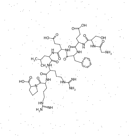 CC(C)CC(NC(=O)C(CCC(=O)O)NC(=O)C(Cc1ccccc1)NC(=O)C(CCC(=O)O)NC(=O)C(CO)NC(=O)CN)C(=O)NC(CCCNC(=N)N)C(=O)NC(CCCNC(=N)N)C(=O)N1CCCC1C(=O)O